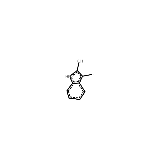 [CH2]c1c(O)[nH]c2ccccc12